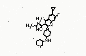 Cc1noc(-c2c(N3CCC(N[C@@H]4CCCOC4)CC3)nc3cc(F)c(C4CC4)cc3c2C)n1